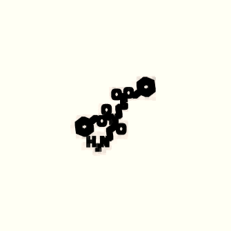 NCCC(=O)N(CCSC(=O)OCc1ccccc1)C(=O)OCc1ccccc1